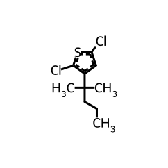 CCCC(C)(C)c1cc(Cl)sc1Cl